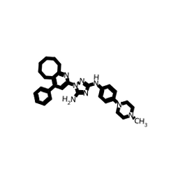 CN1CCN(c2ccc(Nc3nc(N)n(-c4cc(-c5ccccc5)c5c(n4)CCCCCC5)n3)cc2)CC1